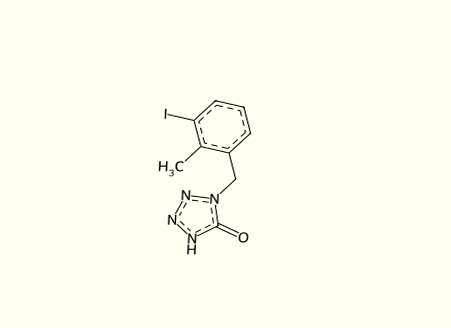 Cc1c(I)cccc1Cn1nn[nH]c1=O